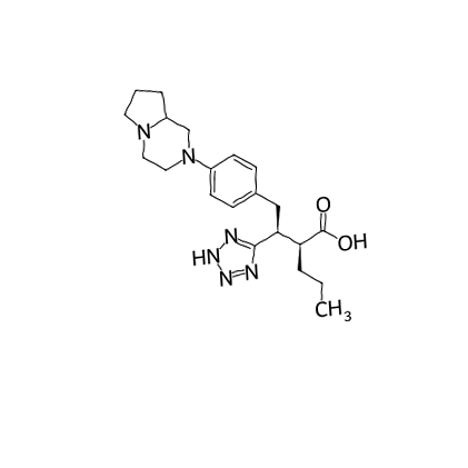 CCC[C@H](C(=O)O)[C@H](Cc1ccc(N2CCN3CCCC3C2)cc1)c1nn[nH]n1